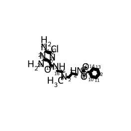 CN(CCCNS(=O)(=O)c1ccccc1)CCNC(=O)c1nc(Cl)c(N)nc1N